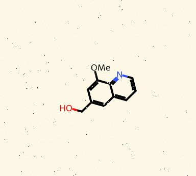 COc1cc(CO)cc2cccnc12